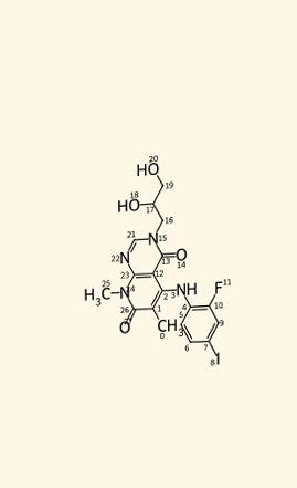 Cc1c(Nc2ccc(I)cc2F)c2c(=O)n(CC(O)CO)cnc2n(C)c1=O